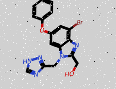 OCc1nc2c(Br)cc(Oc3ccccc3)cc2n1Cc1nc[nH]n1